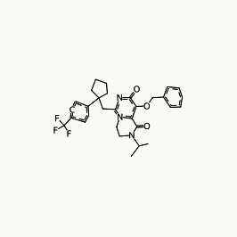 CC(C)N1CCn2c(CC3(c4ccc(C(F)(F)F)cc4)CCCC3)nc(=O)c(OCc3ccccc3)c2C1=O